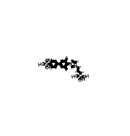 Cc1cc(-c2ccc([Si](O)(O)O)cc2)cc(C)c1-[n+]1ccn(CCC[Si](O)(O)O)c1